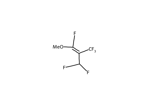 COC(F)=C(C(F)F)C(F)(F)F